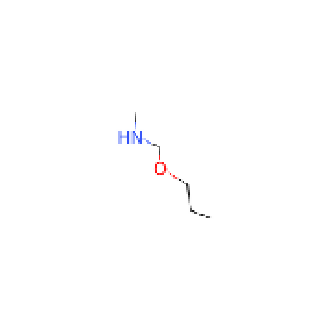 CCCOCNC